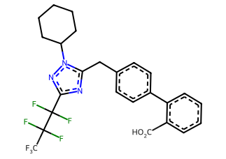 O=C(O)c1ccccc1-c1ccc(Cc2nc(C(F)(F)C(F)(F)C(F)(F)F)nn2C2CCCCC2)cc1